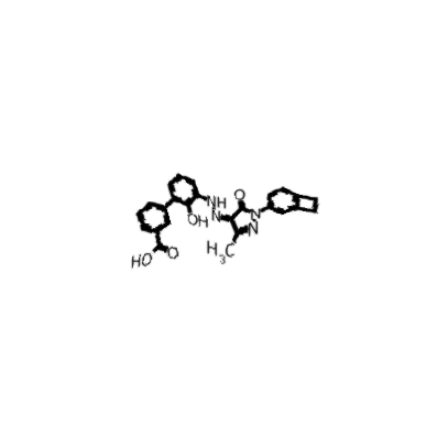 CC1=NN(c2ccc3c(c2)CC3)C(=O)/C1=N\Nc1cccc(-c2cccc(C(=O)O)c2)c1O